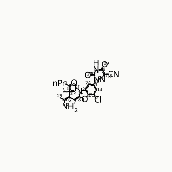 CCCC(=O)C(C)(C)C(/C=C1/Oc2c(Cl)cc(-n3nc(C#N)c(=O)[nH]c3=O)cc2N1Cl)=C(\C)N